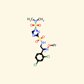 CC(C)O/N=C(\CNS(=O)(=O)c1ncn(S(=O)(=O)N(C)C)n1)c1ccc(Cl)cc1Cl